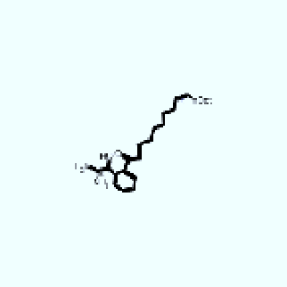 CCCCCCCC/C=C\CCCCCCCC(=O)c1ccccc1C(O)[C@H](C)N